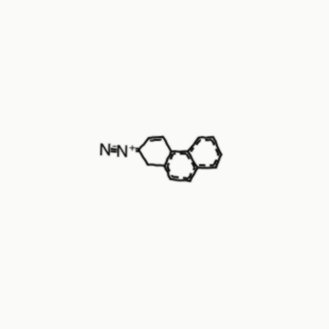 [N-]=[N+]=C1C=Cc2c(ccc3ccccc23)C1